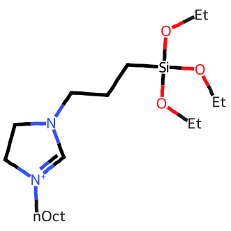 CCCCCCCC[N+]1=CN(CCC[Si](OCC)(OCC)OCC)CC1